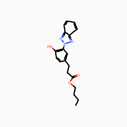 CCCCOC(=O)CCc1ccc(O)c(-n2nc3ccccc3n2)c1